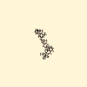 O=C1NC(=O)/C(=C\c2ccnc(N3CCC(CNCc4cc(F)cc(-c5ccn[nH]5)n4)CC3)n2)S1